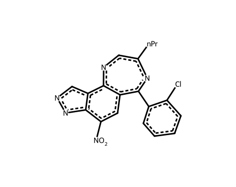 CCCc1cnc2c(cc([N+](=O)[O-])c3nncc32)c(-c2ccccc2Cl)n1